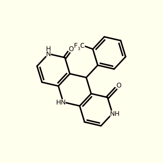 O=c1[nH]ccc2c1C(c1ccccc1C(F)(F)F)c1c(cc[nH]c1=O)N2